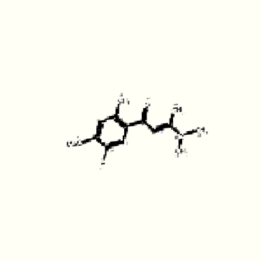 COc1cc(C)c(C(=O)/C=C(\C)N(C)C)cc1F